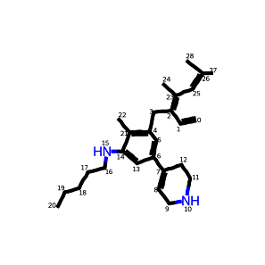 C=C/C(Cc1cc(C2=CCNCC2)cc(NCCCCC)c1C)=C(/C)C=C(C)C